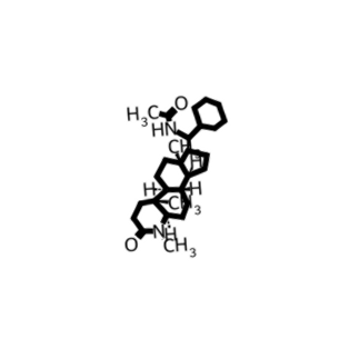 CC(=O)NC(C1CCCCC1)[C@H]1CC[C@H]2[C@@H]3CC[C@H]4N(C)C(=O)CC[C@]4(C)[C@H]3CC[C@]12C